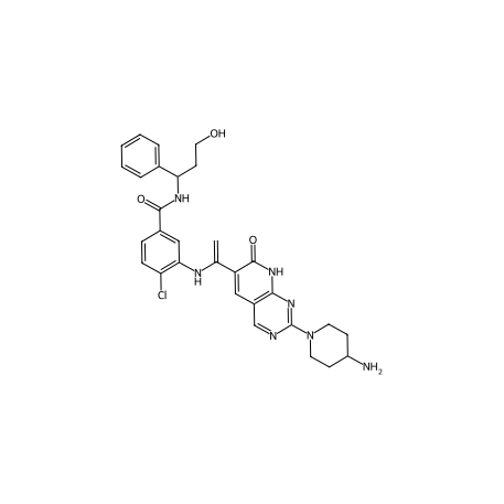 C=C(Nc1cc(C(=O)NC(CCO)c2ccccc2)ccc1Cl)c1cc2cnc(N3CCC(N)CC3)nc2[nH]c1=O